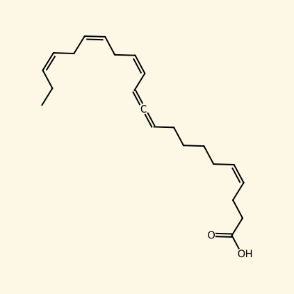 CC/C=C\C/C=C\C/C=C\C=C=CCCCC/C=C\CCC(=O)O